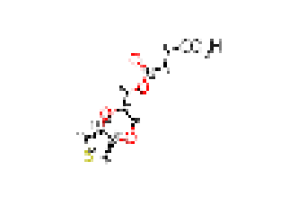 O=C(O)CCC(=O)OCC1COc2cscc2O1